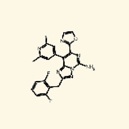 Cc1cc(-c2c(-c3ncco3)nc(N)n3nc(Cc4c(F)cccc4F)nc23)cc(C)n1